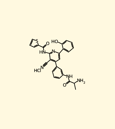 CC(N)C(=O)Nc1cccc(-c2cc(-c3ccccc3O)nc(NC(=O)c3cccs3)c2C#N)c1.Cl